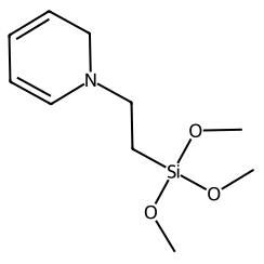 CO[Si](CCN1C=CC=CC1)(OC)OC